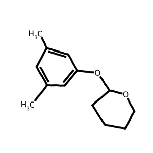 Cc1cc(C)cc(OC2CCCCO2)c1